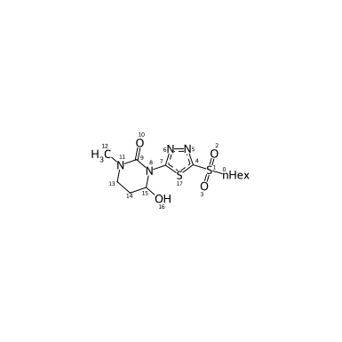 CCCCCCS(=O)(=O)c1nnc(N2C(=O)N(C)CCC2O)s1